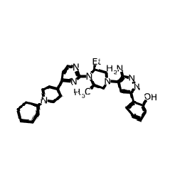 CCC1CN(c2cc(-c3ccccc3O)nnc2N)CC(C)N1c1nccc(C2CCN(C3CCCCC3)CC2)n1